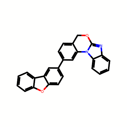 c1ccc2c(c1)nc1n2-c2cc(-c3ccc4oc5ccccc5c4c3)ccc2CO1